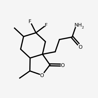 CC1OC(=O)C2(CCC(N)=O)CC(F)(F)C(C)CC12